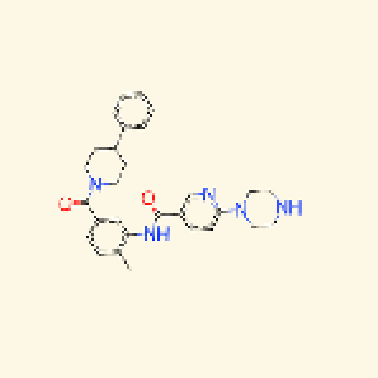 Cc1ccc(C(=O)N2CCC(c3ccccc3)CC2)cc1NC(=O)c1ccc(N2CCNCC2)nc1